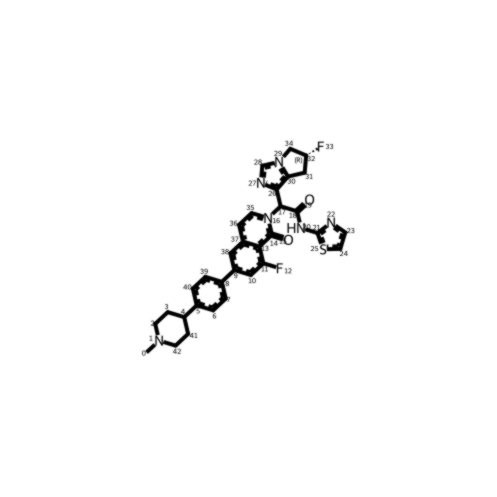 CN1CCC(c2ccc(-c3cc(F)c4c(=O)n(C(C(=O)Nc5nccs5)c5ncn6c5C[C@@H](F)C6)ccc4c3)cc2)CC1